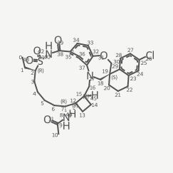 CC[C@@H]1CCCC[C@@H](NC(C)=O)[C@@H]2CC[C@H]2CN2C[C@@]3(CCCc4cc(Cl)ccc43)COc3ccc(cc32)C(=O)NS1(=O)=O